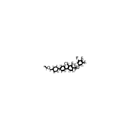 CCOCC1CCC(c2ccc(-c3ccc(C(F)(F)Oc4cc(F)c(F)c(F)c4)c(F)c3Cl)cc2)CC1